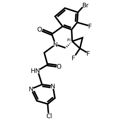 O=C(CN1C[C@@]2(CC2(F)F)c2c(ccc(Br)c2F)C1=O)Nc1ncc(Cl)cn1